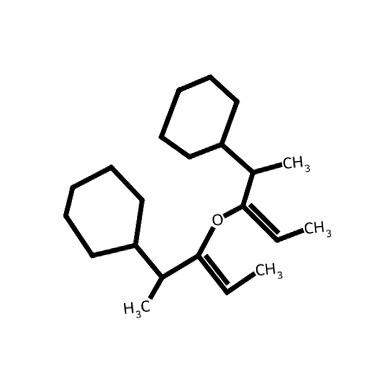 CC=C(OC(=CC)C(C)C1CCCCC1)C(C)C1CCCCC1